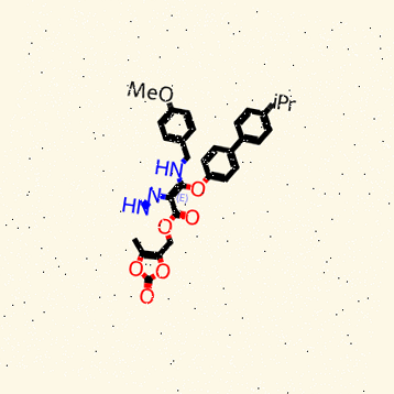 COc1ccc(CN/C(Oc2ccc(-c3ccc(C(C)C)cc3)cc2)=C(\N=N)C(=O)OCc2oc(=O)oc2C)cc1